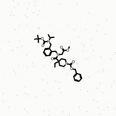 CCC1(C(=O)N(CC(=O)OC)Cc2ccccc2CN(C(=O)OC(C)(C)C)C(C)C)CCN(C(=O)OCc2ccccc2)CC1